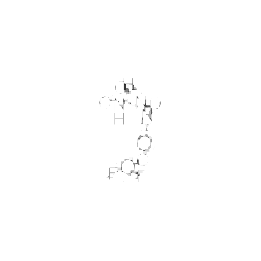 O=C1CO[C@H]2CCN(C(=O)N3CC(c4ccc(Oc5ccc(F)cc5F)cc4)C3)CC2N1